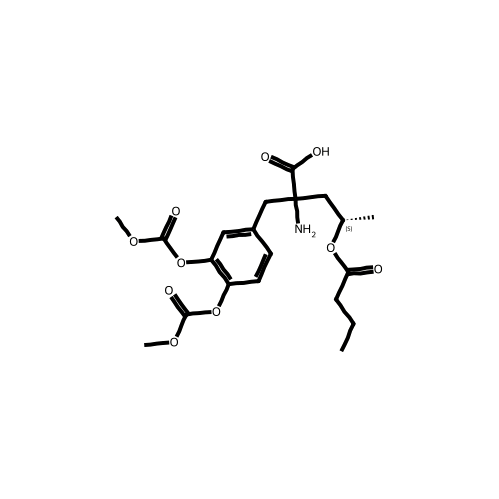 CCCC(=O)O[C@@H](C)CC(N)(Cc1ccc(OC(=O)OC)c(OC(=O)OC)c1)C(=O)O